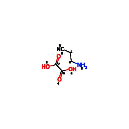 N#CCCN.O=C(O)C(=O)O